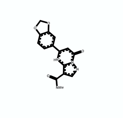 CNC(=O)c1cnn2c(=O)cc(-c3ccc4c(c3)OCO4)[nH]c12